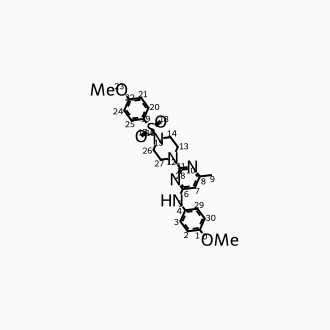 COc1ccc(Nc2cc(C)nc(N3CCN(S(=O)(=O)c4ccc(OC)cc4)CC3)n2)cc1